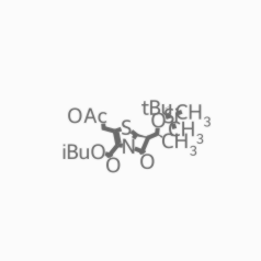 CC(=O)OCC1=C(C(=O)OCC(C)C)N2C(=O)[C@H]([C@@H](C)O[Si](C)(C)C(C)(C)C)C2S1